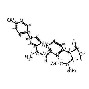 CCC[C@@H](OC)[C@H]1COC(=O)N1c1ccnc(N[C@@H](C)c2cn(-c3ccc(Cl)cc3)cn2)n1